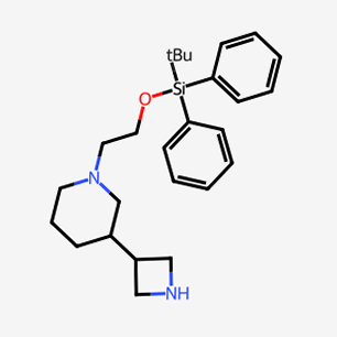 CC(C)(C)[Si](OCCN1CCCC(C2CNC2)C1)(c1ccccc1)c1ccccc1